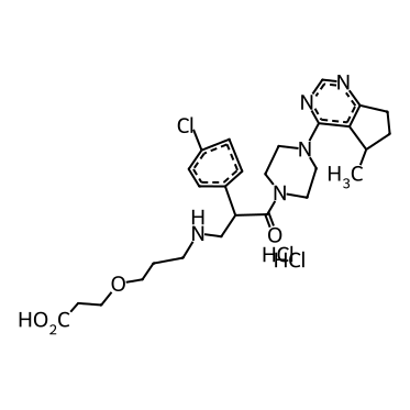 CC1CCc2ncnc(N3CCN(C(=O)C(CNCCCOCCC(=O)O)c4ccc(Cl)cc4)CC3)c21.Cl.Cl